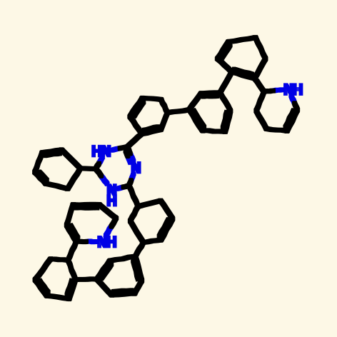 C1=CCNC(C2CC=CC=C2c2cccc(C3C=CCC(C4N=C(C5=CC(c6cccc(C7=C(C8CCC=CN8)CCC=C7)c6)CC=C5)NC(C5C=CC=CC5)N4)C3)c2)=C1